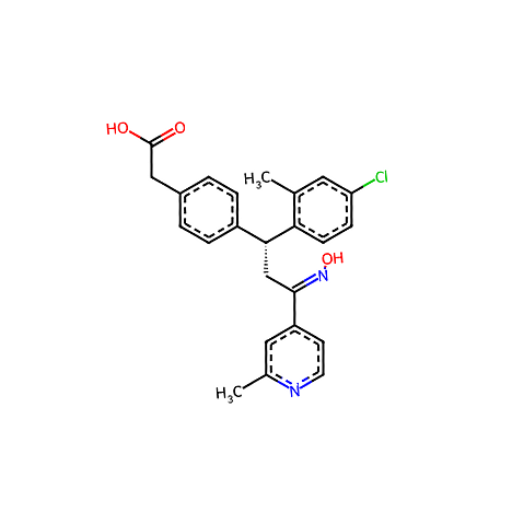 Cc1cc(/C(C[C@H](c2ccc(CC(=O)O)cc2)c2ccc(Cl)cc2C)=N/O)ccn1